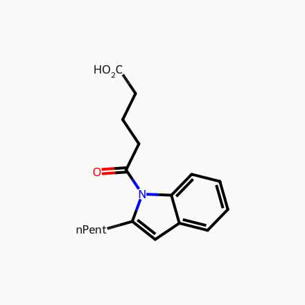 CCCCCc1cc2ccccc2n1C(=O)CCCC(=O)O